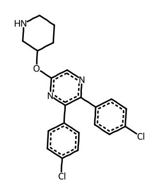 Clc1ccc(-c2ncc(OC3CCCNC3)nc2-c2ccc(Cl)cc2)cc1